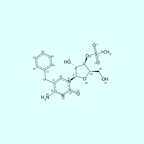 CS(=O)(=O)O[C@@H]1[C@@H](O)[C@H](n2cc(Cc3ccccc3)c(N)nc2=O)O[C@@H]1CO